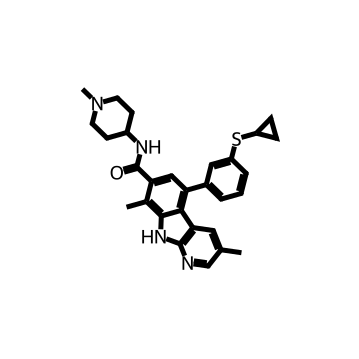 Cc1cnc2[nH]c3c(C)c(C(=O)NC4CCN(C)CC4)cc(-c4cccc(SC5CC5)c4)c3c2c1